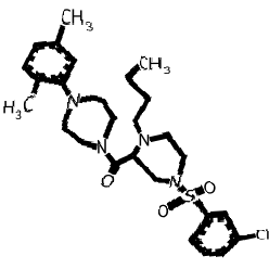 CCCCN1CCN(S(=O)(=O)c2cccc(Cl)c2)CC1C(=O)N1CCN(c2cc(C)ccc2C)CC1